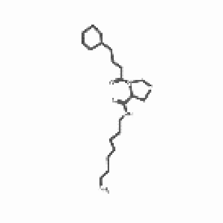 NCCCCCCCNC(=O)C1CSCN1C(=O)CCCC1CCCCC1